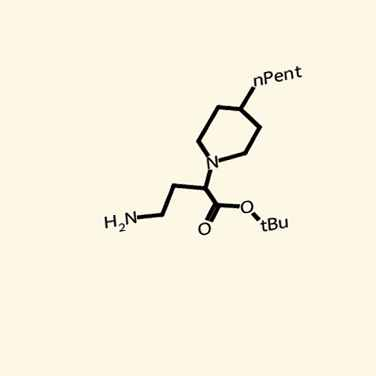 CCCCCC1CCN(C(CCN)C(=O)OC(C)(C)C)CC1